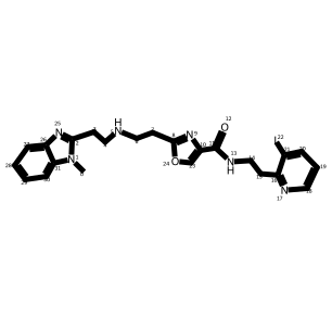 Cn1c(CCNCCc2nc(C(=O)NCCc3ncccc3I)co2)nc2ccccc21